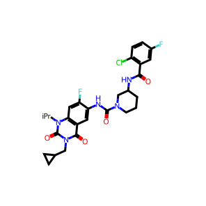 CC(C)n1c(=O)n(CC2CC2)c(=O)c2cc(NC(=O)N3CCCC(NC(=O)c4cc(F)ccc4Cl)C3)c(F)cc21